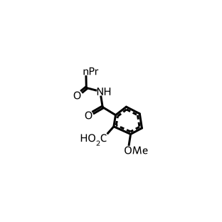 CCCC(=O)NC(=O)c1cccc(OC)c1C(=O)O